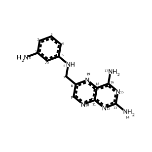 Nc1cccc(NCc2cnc3nc(N)nc(N)c3n2)c1